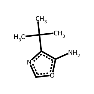 CC(C)(C)c1ncoc1N